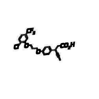 CC#CC(CC(=O)O)c1ccc(OCCCOc2cc(C(F)(F)F)ccc2Cl)cc1